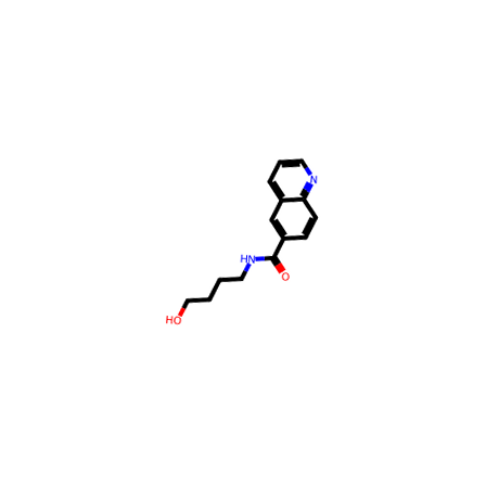 O=C(NCCCCO)c1ccc2ncccc2c1